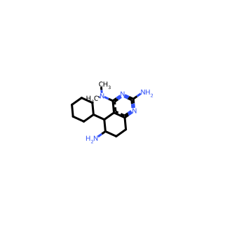 CN(C)c1nc(N)nc2c1C(C1CCCCC1)C(N)CC2